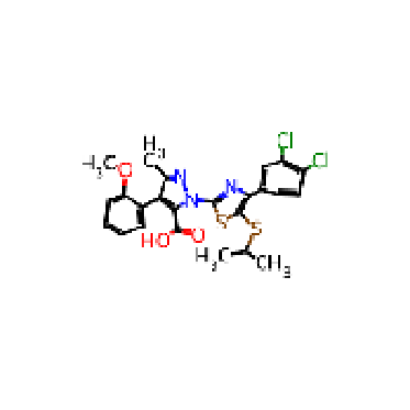 COc1ccccc1-c1c(C)nn(-c2nc(-c3ccc(Cl)c(Cl)c3)c(SC(C)C)s2)c1C(=O)O